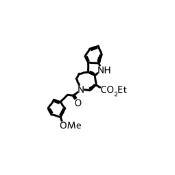 CCOC(=O)C1=CN(C(=O)Cc2cccc(OC)c2)CCc2c1[nH]c1ccccc21